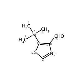 C[Si](C)(C)c1scnc1C=O